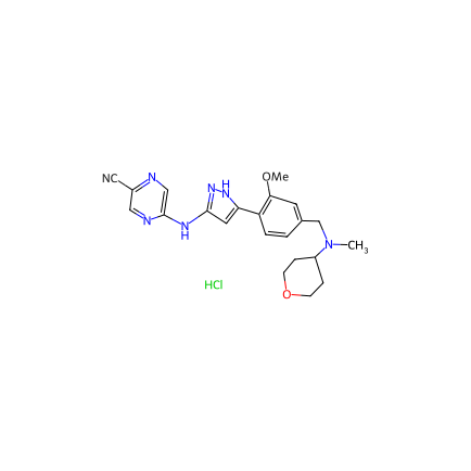 COc1cc(CN(C)C2CCOCC2)ccc1-c1cc(Nc2cnc(C#N)cn2)n[nH]1.Cl